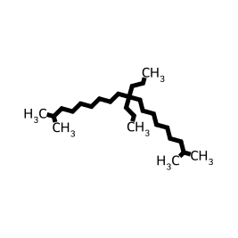 CCCC(CCC)(CCCCCCCC(C)C)CCCCCCCC(C)C